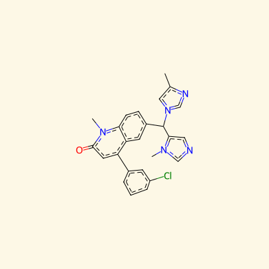 Cc1cn(C(c2ccc3c(c2)c(-c2cccc(Cl)c2)cc(=O)n3C)c2cncn2C)cn1